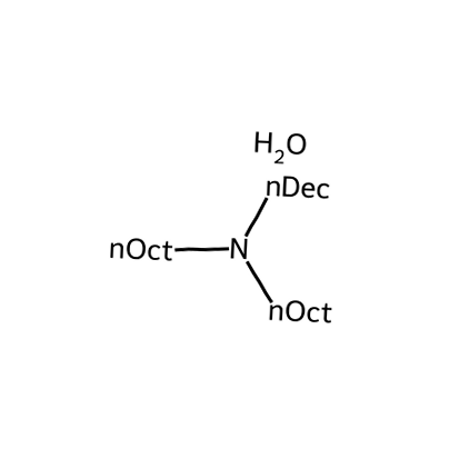 CCCCCCCCCCN(CCCCCCCC)CCCCCCCC.O